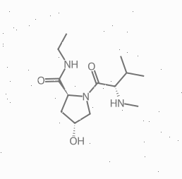 CCNC(=O)[C@@H]1C[C@@H](O)CN1C(=O)[C@@H](NC)C(C)C